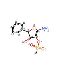 CS(=O)(=O)OC1=C(N)OC(c2ccccc2)C1=O